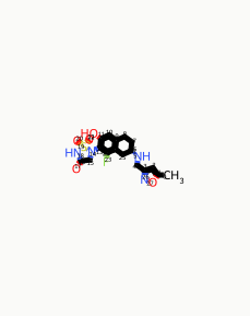 Cc1cc(CN[C@@H]2CCc3cc(O)c(N4CC(=O)NS4(=O)=O)c(F)c3C2)no1